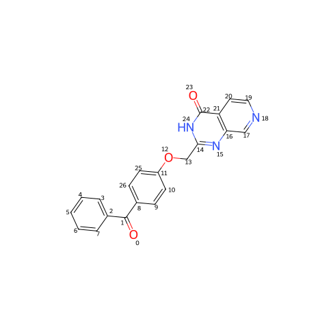 O=C(c1ccccc1)c1ccc(OCc2nc3cnccc3c(=O)[nH]2)cc1